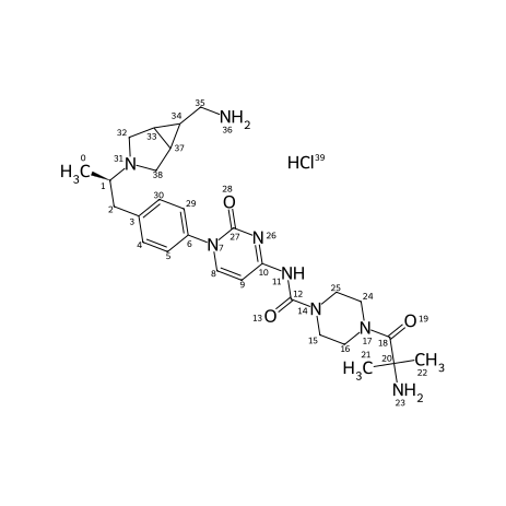 C[C@H](Cc1ccc(-n2ccc(NC(=O)N3CCN(C(=O)C(C)(C)N)CC3)nc2=O)cc1)N1CC2C(CN)C2C1.Cl